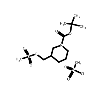 CC(C)(C)OC(=O)N1CCCC(COS(C)(=O)=O)C1.CS(=O)(=O)Cl